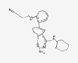 N#CCCOc1ccccc1-c1ccc2nc(N)nc(NC3CCCCC3)c2c1